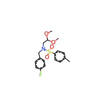 COC(CN(Cc1ccc(F)cc1)S(=O)(=O)c1ccc(C)cc1)OC